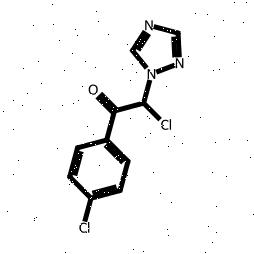 O=C(c1ccc(Cl)cc1)C(Cl)n1cncn1